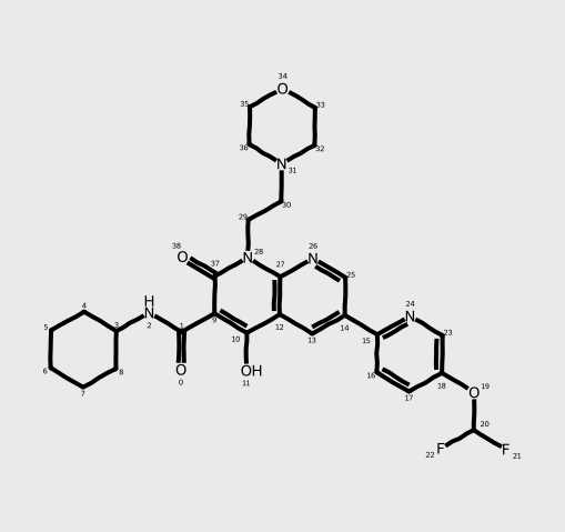 O=C(NC1CCCCC1)c1c(O)c2cc(-c3ccc(OC(F)F)cn3)cnc2n(CCN2CCOCC2)c1=O